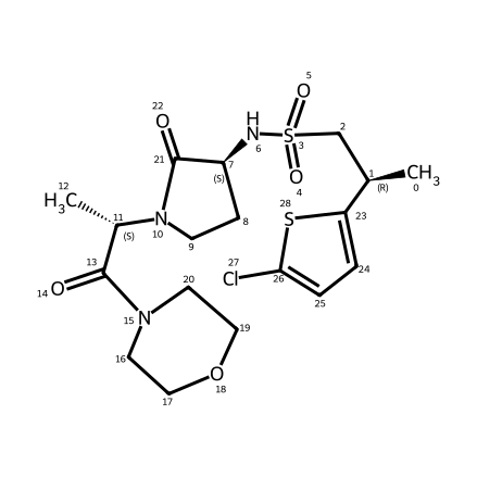 C[C@H](CS(=O)(=O)N[C@H]1CCN([C@@H](C)C(=O)N2CCOCC2)C1=O)c1ccc(Cl)s1